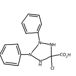 O=C(O)C1(Cl)NN(c2ccccc2)N(c2ccccc2)N1